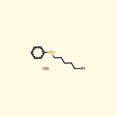 Br.CC(C)CCCCCPc1ccccc1